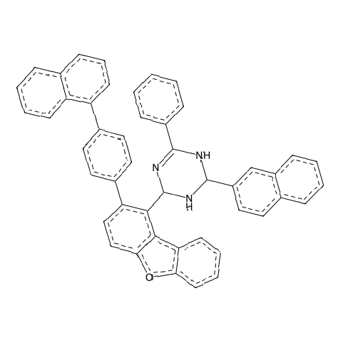 c1ccc(C2=NC(c3c(-c4ccc(-c5cccc6ccccc56)cc4)ccc4oc5ccccc5c34)NC(c3ccc4ccccc4c3)N2)cc1